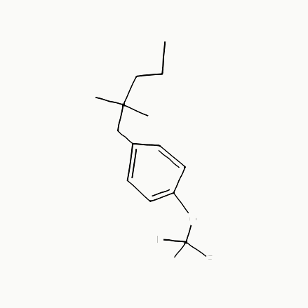 CCCC(C)(C)Cc1ccc(OC(F)(F)F)cc1